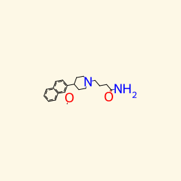 COc1c(C2CCN(CCCC(N)=O)CC2)ccc2ccccc12